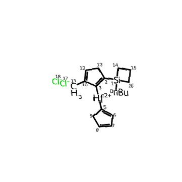 CCCC[Si]1(C2=[C]([Hf+2][C]3=CC=CC3)C(C)=CC2)CCC1.[Cl-].[Cl-]